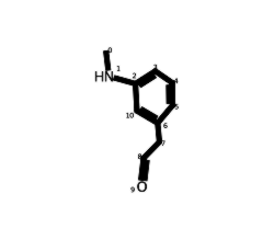 CNc1cccc(CC=O)c1